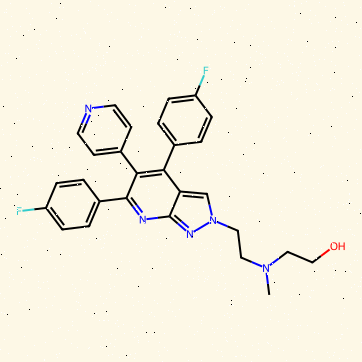 CN(CCO)CCn1cc2c(-c3ccc(F)cc3)c(-c3ccncc3)c(-c3ccc(F)cc3)nc2n1